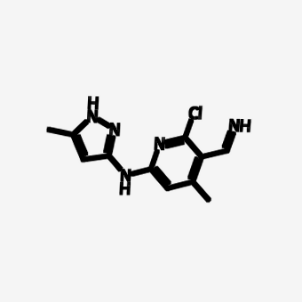 Cc1cc(Nc2cc(C)c(C=N)c(Cl)n2)n[nH]1